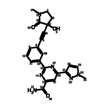 CN1CCC(O)(C#Cc2cccc(-c3nc(C(N)=O)cc(-c4ccn(C)n4)n3)c2)C1=O